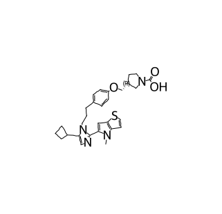 Cn1c(-c2ncc(C3CCC3)n2CCCc2ccc(OC[C@@H]3CCN(C(=O)O)C3)cc2)cc2sccc21